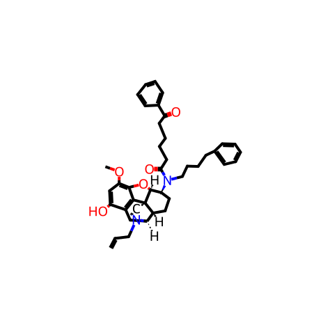 C=CCN1CC[C@]23c4c5c(O)cc(OC)c4O[C@H]2[C@@H](N(CCCCc2ccccc2)C(=O)CCCCC(=O)c2ccccc2)CC[C@H]3[C@H]1C5